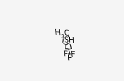 CC[SH]1C=Cc2cc(C(F)(F)F)ccc21